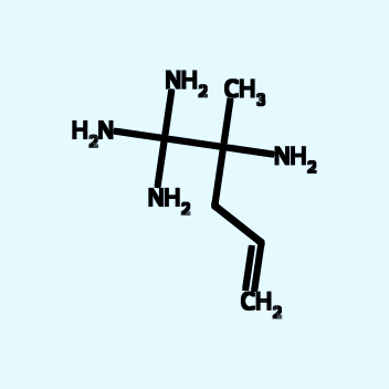 C=CCC(C)(N)C(N)(N)N